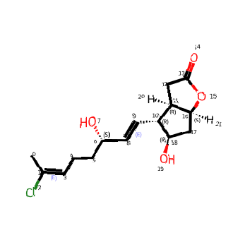 C/C(Cl)=C\CC[C@H](O)/C=C/[C@@H]1[C@H]2CC(=O)O[C@H]2C[C@H]1O